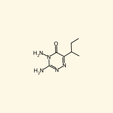 CCC(C)c1nnc(N)n(N)c1=O